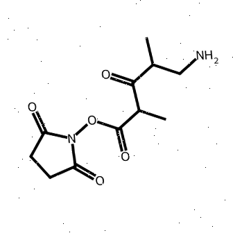 CC(CN)C(=O)C(C)C(=O)ON1C(=O)CCC1=O